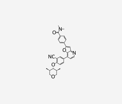 C[C@@H]1COC[C@H](C)[C@H]1Oc1ccc(-c2ccnc3cc(-c4ccc(C(=O)N(C)C)cc4)oc23)cc1C#N